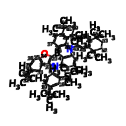 Cc1cc2c3c(c1)N(c1ccc(C(C)(C)C)cc1[Si](C)(C)C)c1c(oc4ccc(C(C)(C)C)cc14)B3c1ccc3c(c1N2c1ccc2c(c1)C(C)(C)CCC2(C)C)C(C)(C)CCC3(C)C